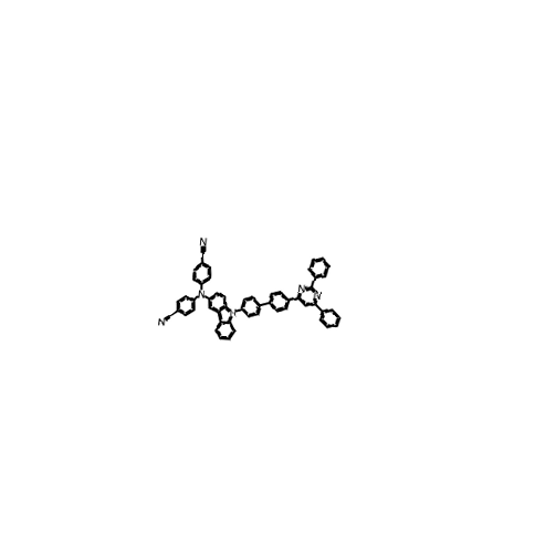 N#Cc1ccc(N(c2ccc(C#N)cc2)c2ccc3c(c2)c2ccccc2n3-c2ccc(-c3ccc(-c4cc(-c5ccccc5)nc(-c5ccccc5)n4)cc3)cc2)cc1